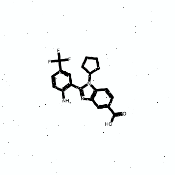 Nc1ccc(C(F)(F)F)cc1-c1nc2cc(C(=O)O)ccc2n1C1CCCC1